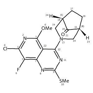 COc1nc(Cl)c(F)c2nc(SC)nc(N3C[C@H]4CC[C@@H](C3)C4=O)c12